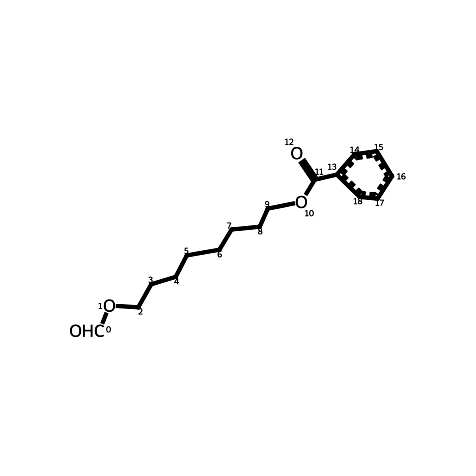 O=COCCCCCCCCOC(=O)c1ccccc1